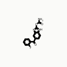 NC(=O)Oc1nc2cc(C(=O)c3ccccc3F)ccc2[nH]1